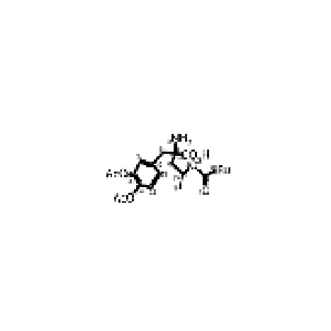 CCC(C)C(=O)O[C@@H](C)CC(N)(Cc1ccc(OC(C)=O)c(OC(C)=O)c1)C(=O)O